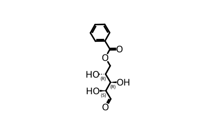 O=C[C@@H](O)[C@H](O)[C@H](O)COC(=O)c1ccccc1